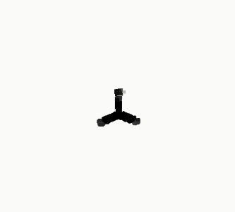 O=I(=O)F.[K]